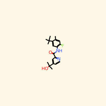 Cc1cc(F)c(NC(=O)c2cc(C(C)(C)O)ccn2)cc1C(C)(C)C